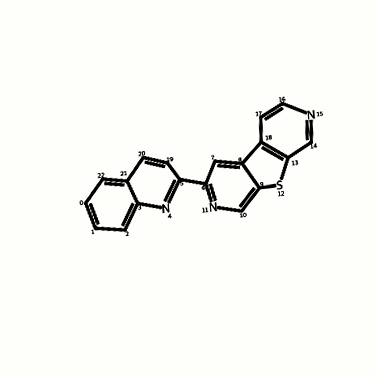 c1ccc2nc(-c3cc4c(cn3)sc3cnccc34)ccc2c1